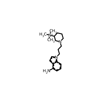 C[N+](C)(C)C1CCCN(CCCn2ccc3c(N)cccc32)C1